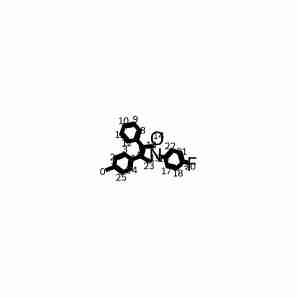 Cc1ccc(C2=C(c3ccccc3)C(=O)N(c3ccc(F)cc3)C2)cc1